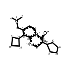 CN(C)Cc1ccn2c(=O)c(C3CCCC3)cnc2c1C1CCC1